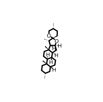 C[C@@H]1CC[C@@]2(OC1)O[C@H]1C[C@H]3[C@@H]4CC[C@@H]5C[C@H](C)CC[C@]5(C)[C@H]4CC[C@]3(C)[C@H]1[C@@H]2C